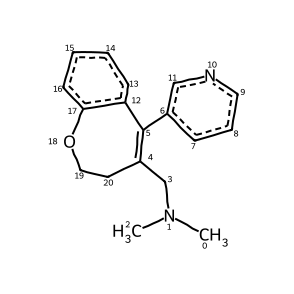 CN(C)CC1=C(c2cccnc2)c2ccccc2OCC1